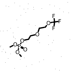 COP(=O)(OC)OCCOCCOC(F)(F)F